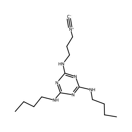 [C-]#[N+]CCCNc1nc(NCCCC)nc(NCCCC)n1